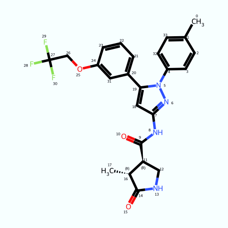 Cc1ccc(-n2nc(NC(=O)[C@H]3CNC(=O)[C@@H]3C)cc2-c2cccc(OCC(F)(F)F)c2)cc1